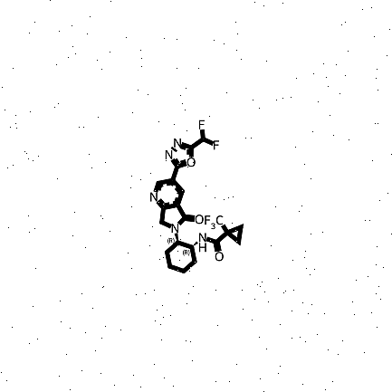 O=C1c2cc(-c3nnc(C(F)F)o3)cnc2CN1[C@@H]1CCCC[C@H]1NC(=O)C1(C(F)(F)F)CC1